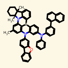 Cc1cc2c3c(c1)N1c4c(cccc4C4(C)CCCC[C@@]14C)B3c1ccc(N(c3ccccc3)c3cccc(-c4cccc5ccccc45)c3)cc1N2c1ccc2c(c1)oc1ccccc12